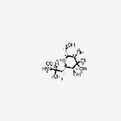 C[C@](N)(C[C@@H]1O[C@H](CO)[C@@H](O)C(O)(O)[C@H]1O)C(=O)O